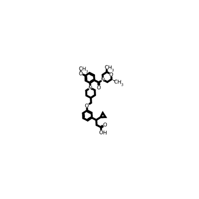 COc1ccc(C(=O)N2CC(C)O[C@H](C)C2)c(N2CCC(COc3cccc(C(CC(=O)O)C4CC4)c3)CC2)c1